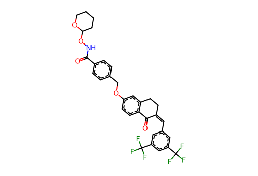 O=C(NOC1CCCCO1)c1ccc(COc2ccc3c(c2)CCC(=Cc2cc(C(F)(F)F)cc(C(F)(F)F)c2)C3=O)cc1